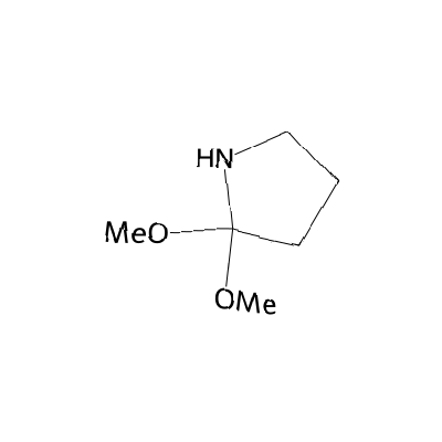 COC1(OC)CCCN1